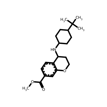 COC(=O)c1ccc2c(c1)OCCC2NC1CCC(C(C)(C)C)CC1